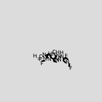 CNc1nc(N[C@H]2CCN(CCF)C[C@H]2F)nn2ccc(-c3ccc4nc(C)n(CC(F)F)c4n3)c12